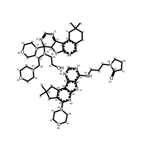 CC1(C)CCc2cnc3c(c2C1)C1=NC=NC(N2CCOCC2)(N(CCO)CCN2CCOCC2)C1S3.CC1(C)Cc2c(N3CCOCC3)nc3sc4c(NCCCN5CCCC5=O)ncnc4c3c2C1